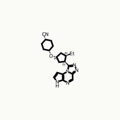 CC[C@@H]1C[C@@H](O[C@H]2CC[C@@H](C#N)CC2)C[C@@H]1c1nnc2cnc3[nH]ccc3n12